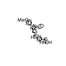 COc1ncc(-c2nc(N3CCOCC3)c3sc(C(C)(C)Nc4ncc(C(=O)NO)cn4)cc3n2)cn1